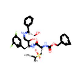 CCCC(CCC)S(=O)(=O)C[C@@H](NC(=O)OCc1ccccc1)C(=O)N[C@@H](Cc1cc(F)cc(F)c1)C(O)CN[C@@H](CO)c1ccccc1